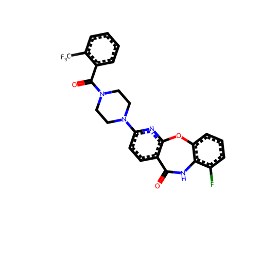 O=C1Nc2c(F)cccc2Oc2nc(N3CCN(C(=O)c4ccccc4C(F)(F)F)CC3)ccc21